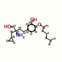 CC(C)CCC[C@H](C)Oc1ccc(CCC(N)(CO)CC2CC2)cc1O